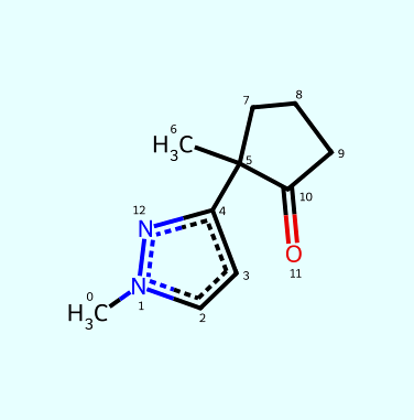 Cn1ccc(C2(C)CCCC2=O)n1